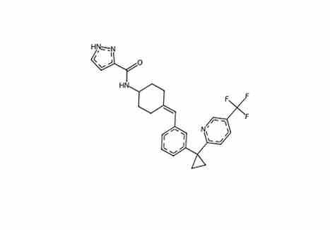 O=C(NC1CCC(=Cc2cccc(C3(c4ccc(C(F)(F)F)cn4)CC3)c2)CC1)c1cc[nH]n1